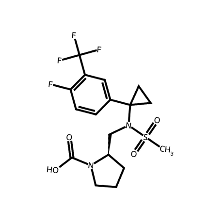 CS(=O)(=O)N(C[C@H]1CCCN1C(=O)O)C1(c2ccc(F)c(C(F)(F)F)c2)CC1